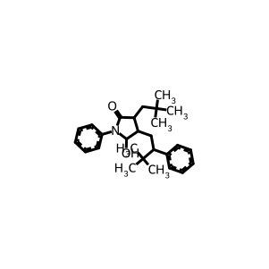 CC(C)(C)CC1C(=O)N(c2ccccc2)C(O)C1CC(c1ccccc1)C(C)(C)C